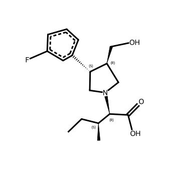 CC[C@H](C)[C@H](C(=O)O)N1C[C@H](CO)[C@@H](c2cccc(F)c2)C1